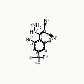 N#CC(C#N)=C(NN)c1c(Br)cc(C(F)(F)F)cc1Br